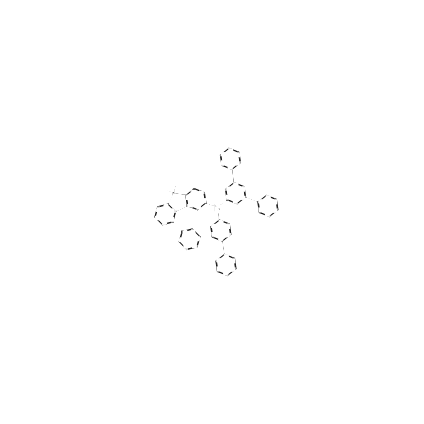 CC1(C)c2ccc(N(c3ccc(-c4ccccc4)cc3)c3cc(-c4ccccc4)cc(-c4ccccc4)c3)cc2-c2c(-c3ccccc3)cccc21